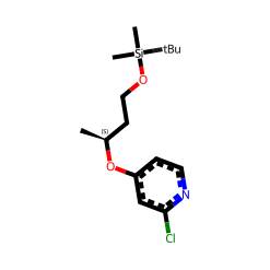 C[C@@H](CCO[Si](C)(C)C(C)(C)C)Oc1ccnc(Cl)c1